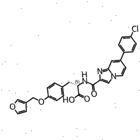 O=C(N[C@@H](Cc1ccc(OCc2ccoc2)cc1)C(=O)O)c1cn2ccc(-c3ccc(Cl)cc3)cc2n1